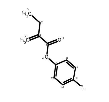 C=C(CC)C(=O)Oc1ccc(F)cc1